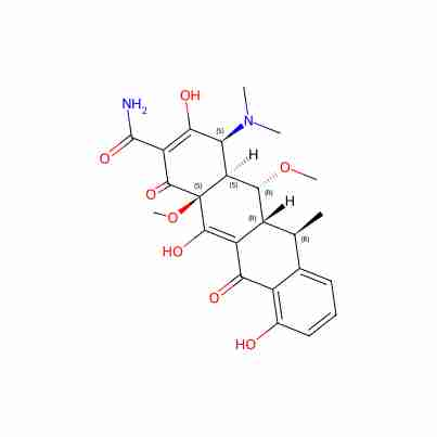 CO[C@@H]1[C@H]2C(=C(O)[C@]3(OC)C(=O)C(C(N)=O)=C(O)[C@@H](N(C)C)[C@@H]13)C(=O)c1c(O)cccc1[C@@H]2C